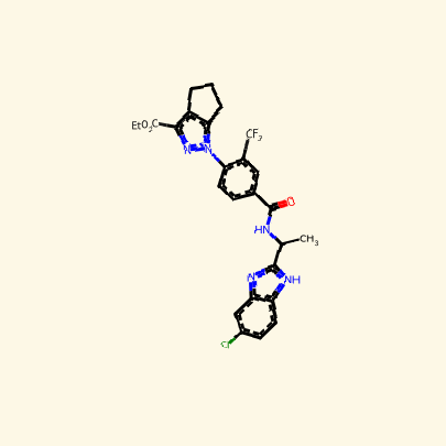 CCOC(=O)c1nn(-c2ccc(C(=O)NC(C)c3nc4cc(Cl)ccc4[nH]3)cc2C(F)(F)F)c2c1CCC2